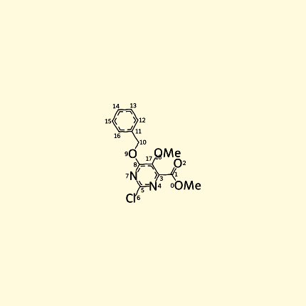 COC(=O)c1nc(Cl)nc(OCc2ccccc2)c1OC